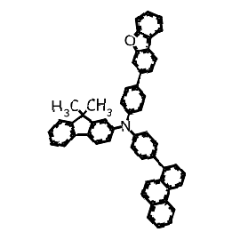 CC1(C)c2ccccc2-c2ccc(N(c3ccc(-c4ccc5c(c4)oc4ccccc45)cc3)c3ccc(-c4cccc5c4ccc4ccccc45)cc3)cc21